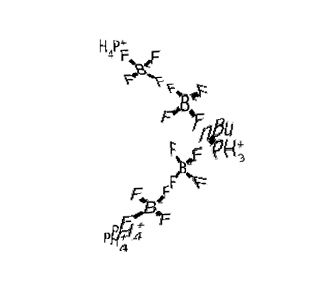 CCCC[PH3+].F[B-](F)(F)F.F[B-](F)(F)F.F[B-](F)(F)F.F[B-](F)(F)F.[PH4+].[PH4+].[PH4+]